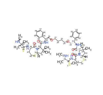 CN[C@@H](C)C(=S)N[C@]1(C)CCS[C@H]2CC(C)(C)[C@@H](C(=O)N[C@H](COCCCCOC[C@@H](NC(=O)C3N4C(=O)[C@@H](NC(=S)C(C)(C)NC)CCS[C@H]4CC3(C)C)c3ccccc3)c3ccccc3)N2C1=O